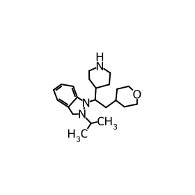 CC(C)N1Cc2ccccc2N1C(CC1CCOCC1)C1CCNCC1